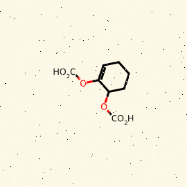 O=C(O)OC1=CCCCC1OC(=O)O